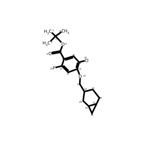 CC(C)(C)OC(=O)c1cc(Cl)c(OCC2CCC3CC3C2)cc1F